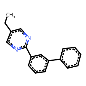 CCc1cnc(-c2cccc(-c3ccccc3)c2)nc1